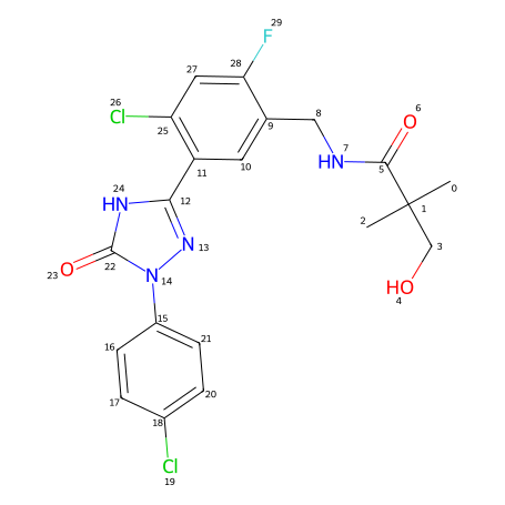 CC(C)(CO)C(=O)NCc1cc(-c2nn(-c3ccc(Cl)cc3)c(=O)[nH]2)c(Cl)cc1F